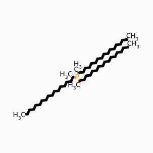 CCCCCCCCCCCCCCCCC(C)P(C(C)CCCCCCCCCCCCCCCC)C(C)CCCCCCCCCCCCCCCC